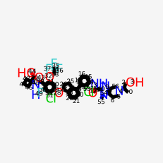 CC(CO)N1CCc2c(nc(C(=O)Nc3cccc(-c4cccc5c4CCC5Oc4cc(OCC(F)(F)F)c(CNC5(C(=O)O)CCC5)c(F)c4Cl)c3Cl)n2C)C1